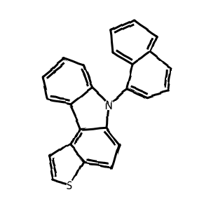 c1ccc2c(-n3c4ccccc4c4c5ccsc5ccc43)cccc2c1